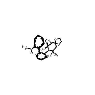 CN(C)c1ccccc1-c1ccccc1P1C(C)(C)CC2(CC1(C)C)OCCO2